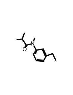 CCc1cccc(N(C)C(=O)C(C)C)c1